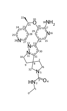 CCNC(=O)N1CCC2(CCn3nc(-c4cnc(N)c(O[C@H](C)c5ccncc5)c4)cc32)C1